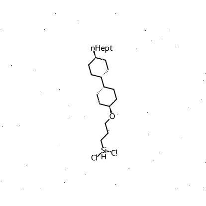 CCCCCCC[C@H]1CC[C@H]([C@H]2CC[C@H](OCCC[SiH](Cl)Cl)CC2)CC1